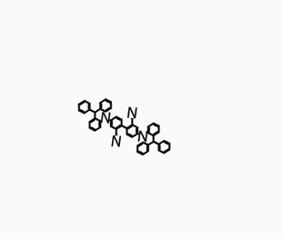 N#Cc1cc(N2c3ccccc3C(c3ccccc3)c3ccccc32)ccc1-c1ccc(N2c3ccccc3C(c3ccccc3)c3ccccc32)cc1C#N